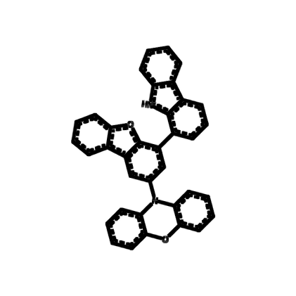 c1ccc2c(c1)Oc1ccccc1N2c1cc(-c2cccc3c2[nH]c2ccccc23)c2oc3ccccc3c2c1